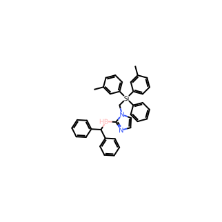 Cc1cccc([Si](Cn2ccnc2BC(c2ccccc2)c2ccccc2)(c2ccccc2)c2cccc(C)c2)c1